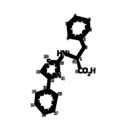 O=C(O)[C@H](Cc1ccccc1)Nc1nc(-c2ccccc2)cs1